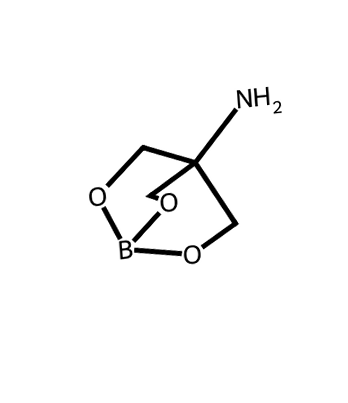 NC12COB(OC1)OC2